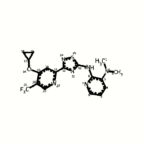 CN(C)c1cccnc1Nc1nc(-c2cc(OC3CC3)c(C(F)(F)F)cn2)ns1